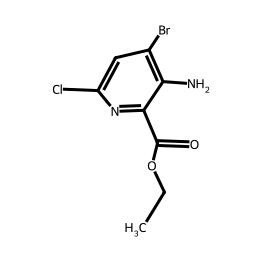 CCOC(=O)c1nc(Cl)cc(Br)c1N